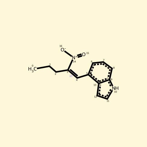 CCC/C(=C/c1cccc2[nH]ccc12)[N+](=O)[O-]